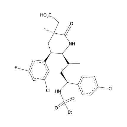 CCS(=O)(=O)N[C@@H](CC(C)[C@@H]1NC(=O)[C@](C)(CC(=O)O)C[C@@H]1c1cc(F)cc(Cl)c1)c1ccc(Cl)cc1